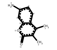 Cc1c(C)c2ccc(N)cc2oc1=O